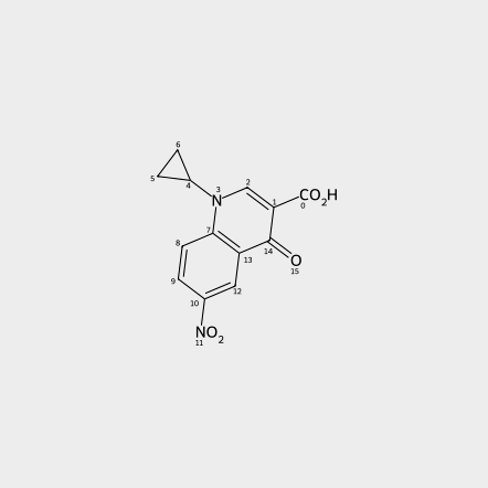 O=C(O)c1cn(C2CC2)c2ccc([N+](=O)[O-])cc2c1=O